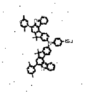 Cc1ccc(C)c(-c2cc3c(c4c2oc2ccccc24)-c2ccc(N(c4ccc(C(C)(C)C)cc4)c4ccc5c(c4)C(C)(C)c4cc(-c6cc(C)ccc6C)c6oc7ccccc7c6c4-5)cc2C3(C)C)c1